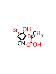 CCCC(=O)O.N#Cc1cc(Br)c(O)c(Br)c1